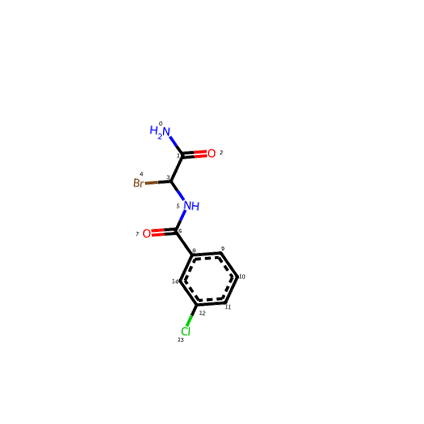 NC(=O)C(Br)NC(=O)c1cccc(Cl)c1